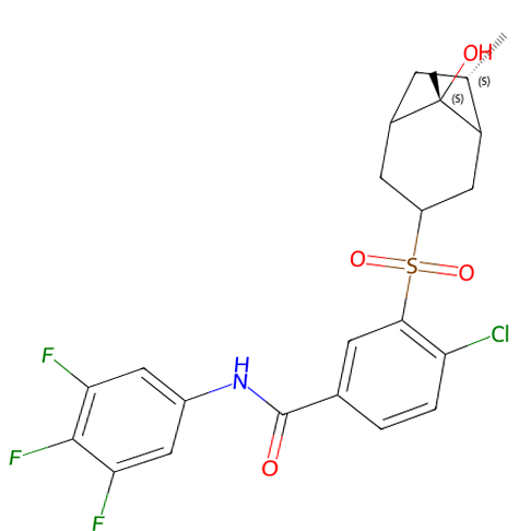 C[C@H]1CC2CC(S(=O)(=O)c3cc(C(=O)Nc4cc(F)c(F)c(F)c4)ccc3Cl)CC1[C@@]2(C)O